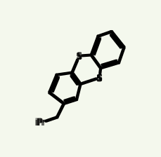 CC(C)Cc1ccc2c(c1)Sc1ccccc1S2